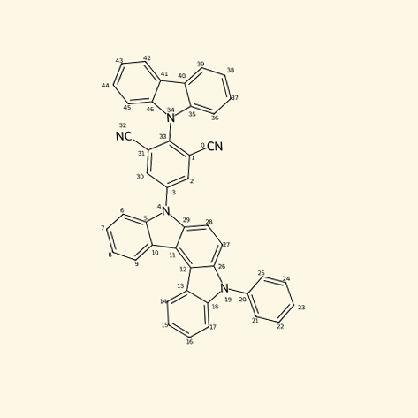 N#Cc1cc(-n2c3ccccc3c3c4c5ccccc5n(-c5ccccc5)c4ccc32)cc(C#N)c1-n1c2ccccc2c2ccccc21